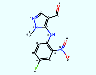 Cn1ncc(C=O)c1Nc1ccc(F)cc1[N+](=O)[O-]